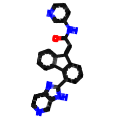 O=C(/C=C1\c2ccccc2-c2c1cccc2-c1nc2ccncc2[nH]1)Nc1cccnc1